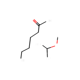 CCCCCC(C)=O.CCOC(C)OC(C)=O